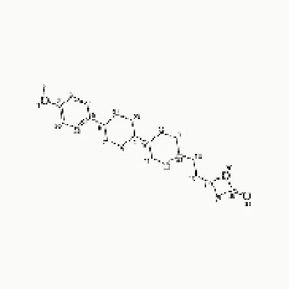 COc1ccc(C2CCC(C3CCC(CCC4CC(=O)O4)CC3)CC2)cc1